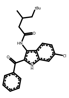 CC(CC(=O)Nc1c(C(=O)c2ccccc2)[nH]c2cc(Cl)ccc12)CC(C)(C)C